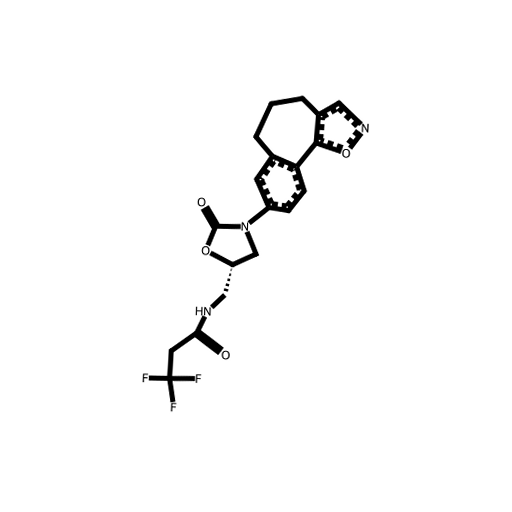 O=C(CC(F)(F)F)NC[C@H]1CN(c2ccc3c(c2)CCCc2cnoc2-3)C(=O)O1